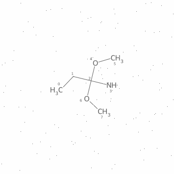 CCC([NH])(OC)OC